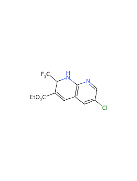 CCOC(=O)C1=Cc2cc(Cl)cnc2NC1C(F)(F)F